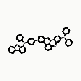 c1ccc(N(c2ccccc2)c2ccc3c(c2)Oc2cccc4c2c-3cc2ccc(-c3ccc(N(c5ccccc5)c5cccc6c5oc5ccccc56)cc3)cc24)cc1